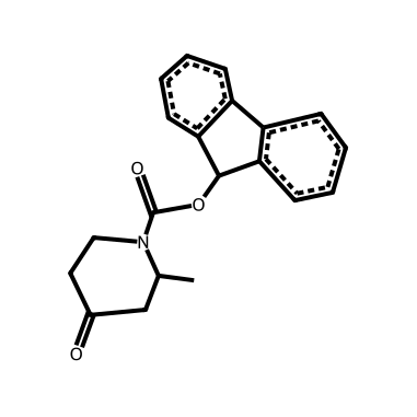 CC1CC(=O)CCN1C(=O)OC1c2ccccc2-c2ccccc21